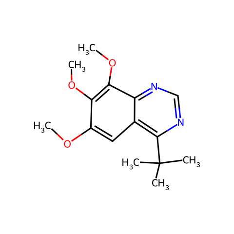 COc1cc2c(C(C)(C)C)ncnc2c(OC)c1OC